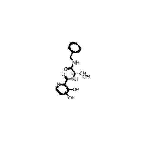 C[C@H](NC(=O)c1nccc(O)c1O)C(=O)NCc1ccccc1.Cl